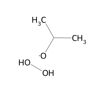 CC(C)[O].OO